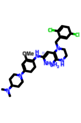 COC1=C(N/C(N)=C/C2=C(N)NCCN2CC2=CC(Cl)CC=C2Cl)CCC(N2CCC(N(C)C)CC2)=C1